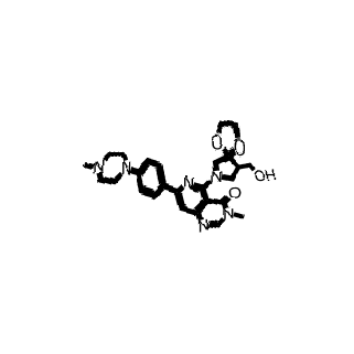 CN1CCN(c2ccc(-c3cc4ncn(C)c(=O)c4c(N4CC(CO)C5(C4)OCCO5)n3)cc2)CC1